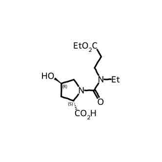 CCOC(=O)CCN(CC)C(=O)N1C[C@H](O)C[C@H]1C(=O)O